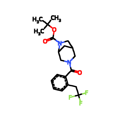 CC(C)(C)OC(=O)N1CC2CC1CN(C(=O)c1ccccc1CC(F)(F)F)C2